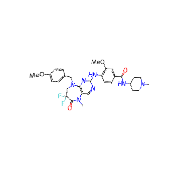 COc1ccc(CN2CC(F)(F)C(=O)N(C)c3cnc(Nc4ccc(C(=O)NC5CCN(C)CC5)cc4OC)nc32)cc1